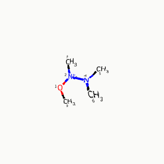 CO[N+](C)N(C)C